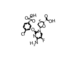 Nc1nc(=O)n([C@@H]2CS[C@H](C(=O)O)O2)cc1F.O=S(=O)(O)c1ccc(Cl)cc1